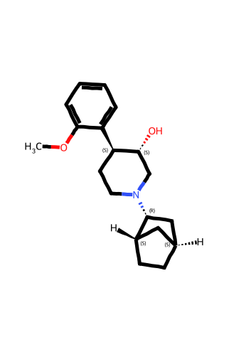 COc1ccccc1[C@@H]1CCN([C@@H]2C[C@H]3CC[C@H]2C3)C[C@H]1O